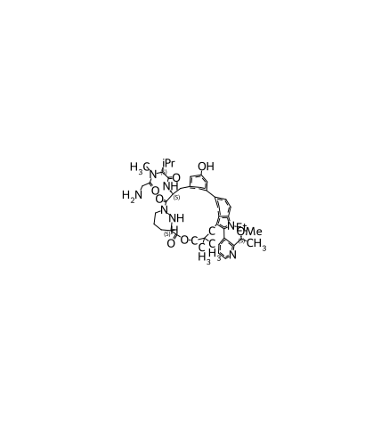 CCn1c(-c2cccnc2[C@H](C)OC)c2c3cc(ccc31)-c1cc(O)cc(c1)C[C@H](NC(=O)[C@H](C(C)C)N(C)C(=O)CN)C(=O)N1CCC[C@H](N1)C(=O)OCC(C)(C)C2